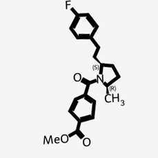 COC(=O)c1ccc(C(=O)N2[C@@H](CCc3ccc(F)cc3)CC[C@H]2C)cc1